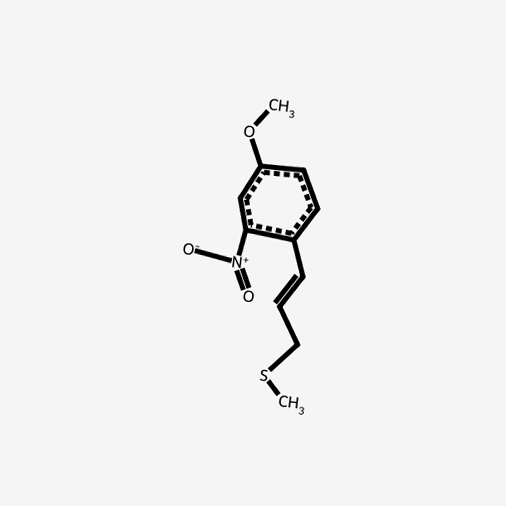 COc1ccc(C=CCSC)c([N+](=O)[O-])c1